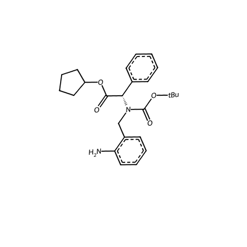 CC(C)(C)OC(=O)N(Cc1ccccc1N)[C@H](C(=O)OC1CCCC1)c1ccccc1